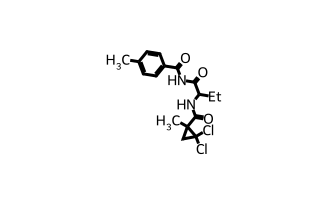 CCC(NC(=O)C1(C)CC1(Cl)Cl)C(=O)NC(=O)c1ccc(C)cc1